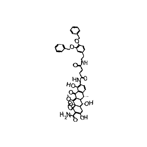 COC1=C2C(=O)c3c(ccc(NC(=O)CCC(=O)NCCc4ccc(OCc5ccccc5)c(OCc5ccccc5)c4)c3O)[C@H](C)C2[C@H](O)C2CC(O)=C(C(N)=O)C(=O)[C@@]12OC